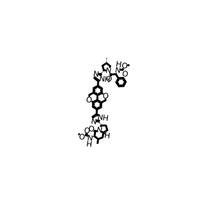 COC(=O)N[C@@H]1C(=O)N2[C@H](CC[C@H]2c2ncc(-c3cc4c5c(c3)OCc3cc(-c6cnc([C@@H]7C[C@H](C)CN7C(=O)[C@H](NC(=O)OC)c7ccccc7)[nH]6)cc(c3-5)OC4)[nH]2)CC1C